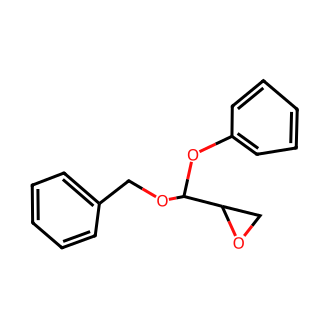 c1ccc(COC(Oc2ccccc2)C2CO2)cc1